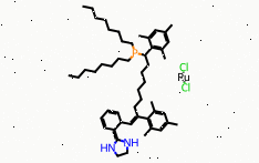 CCCCCCCCP(CCCCCCCC)C(CCCCCCC(=CC1C=CC=CC1=C1NCCN1)c1c(C)cc(C)cc1C)c1c(C)cc(C)cc1C.[Cl][Ru][Cl]